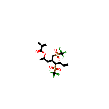 C=CCC(C(CC(C)OC(=O)C(=C)C)CS(=O)(=O)C(F)(F)F)S(=O)(=O)C(F)(F)F